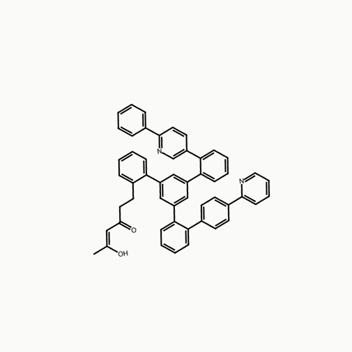 C/C(O)=C/C(=O)CCc1ccccc1-c1cc(-c2ccccc2-c2ccc(-c3ccccn3)cc2)cc(-c2ccccc2-c2ccc(-c3ccccc3)nc2)c1